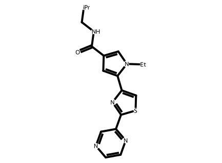 CCn1cc(C(=O)NCC(C)C)cc1-c1csc(-c2cnccn2)n1